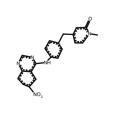 Cn1ccc(Cc2ccc(Nc3ncnc4ccc([N+](=O)[O-])cc34)cc2)cc1=O